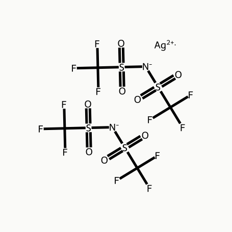 O=S(=O)([N-]S(=O)(=O)C(F)(F)F)C(F)(F)F.O=S(=O)([N-]S(=O)(=O)C(F)(F)F)C(F)(F)F.[Ag+2]